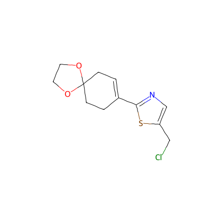 ClCc1cnc(C2=CCC3(CC2)OCCO3)s1